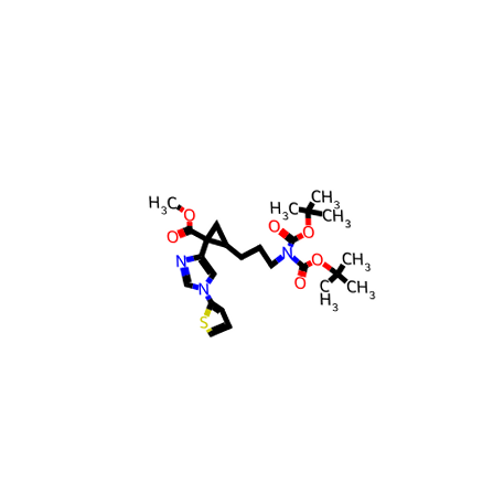 COC(=O)C1(c2cn(-c3cccs3)cn2)CC1CCCN(C(=O)OC(C)(C)C)C(=O)OC(C)(C)C